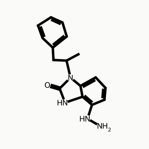 CC(Cc1ccccc1)n1c(=O)[nH]c2c(NN)cccc21